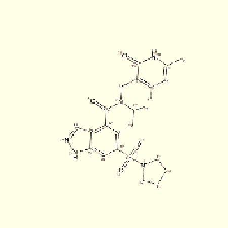 Cc1cc(C)c(CN(C(=O)c2cc(S(=O)(=O)N3CCCC3)cc3[nH]ncc23)C(C)C)c(=O)[nH]1